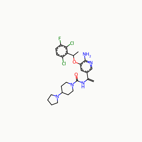 C=C(NC(=O)N1CCC(N2CCCC2)CC1)c1cnc(N)c(OC(C)c2c(Cl)ccc(F)c2Cl)c1